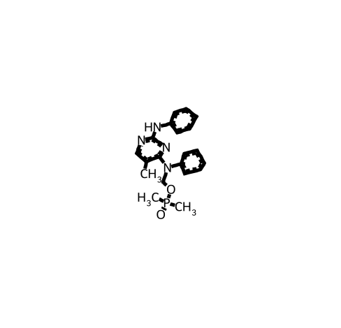 Cc1cnc(Nc2ccccc2)nc1N(COP(C)(C)=O)c1ccccc1